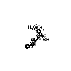 CC(C)(C)Oc1ccc(CC(C(=O)NO)n2cc(CNS(=O)(=O)c3ccc(-c4ccccc4)s3)nn2)cc1